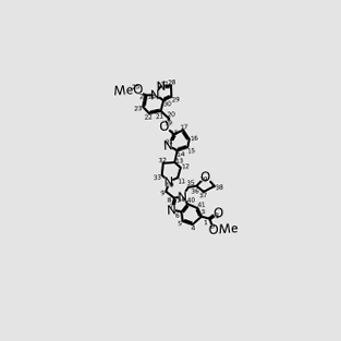 COC(=O)c1ccc2nc(CN3CCC(c4cccc(OCc5ccc(OC)n6nccc56)n4)CC3)n(CC3CCO3)c2c1